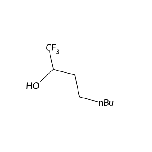 CCCCCCC(O)C(F)(F)F